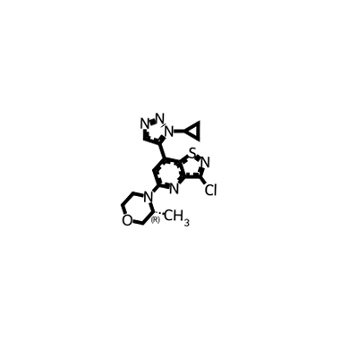 C[C@@H]1COCCN1c1cc(-c2cnnn2C2CC2)c2snc(Cl)c2n1